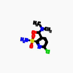 CN(C)C(=O)c1ccc(Cl)nc1S(N)(=O)=O